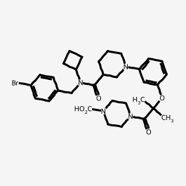 CC(C)(Oc1cccc(N2CCCC(C(=O)N(Cc3ccc(Br)cc3)C3CCC3)C2)c1)C(=O)N1CCN(C(=O)O)CC1